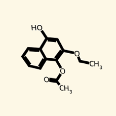 CCOc1cc(O)c2ccccc2c1OC(C)=O